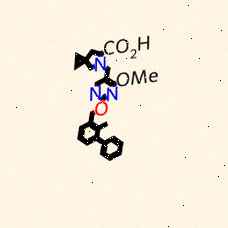 COc1nc(OCc2cccc(-c3ccccc3)c2C)ncc1CN1CC2(CC2)CC1C(=O)O